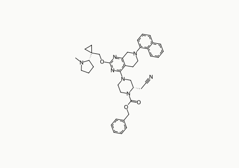 CN1CCC[C@H]1C1(COc2nc3c(c(N4CCN(C(=O)OCc5ccccc5)[C@@H](CC#N)C4)n2)CCN(c2cccc4ccccc24)C3)CC1